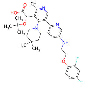 Cc1ncc(-c2ccc(NCCOc3ccc(F)cc3F)cn2)c(N2CCC(C)(C)CC2)c1[C@H](OC(C)(C)C)C(=O)O